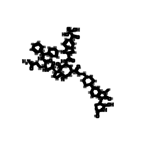 Cn1c(=O)n(C2CCC(=O)NC2O)c2ccc(C3CCN(CCC(=O)N4CC[C@H]5CC[C@@H](C(=O)N[C@@H](CCC(N)=O)C(=O)NC(c6ccccc6)c6ccccc6)N5C(=O)[C@@H](NC(=O)c5cc6cc(C(=O)P(=O)(O)O)ccc6[nH]5)C4)CC3)cc21